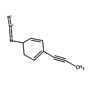 CC#CC1=CCC(N=[N+]=[N-])C=C1